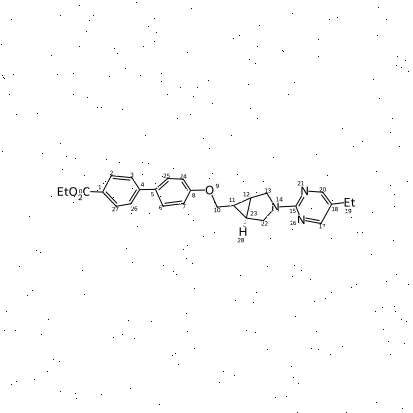 CCOC(=O)c1ccc(-c2ccc(OCC3C4CN(c5ncc(CC)cn5)C[C@@H]34)cc2)cc1